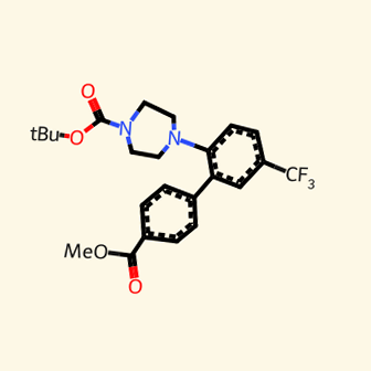 COC(=O)c1ccc(-c2cc(C(F)(F)F)ccc2N2CCN(C(=O)OC(C)(C)C)CC2)cc1